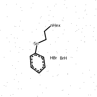 Br.Br.CCCCCCC[CH2][Sn][c]1ccccc1